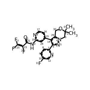 CC1(C)Cn2nc(-c3ccc(F)cn3)c(-c3ccnc(NC(=O)C(F)=C(F)F)c3)c2CO1